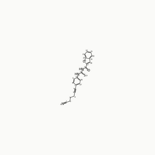 N#CCCCC#Cc1ccc(NC(=S)NC(=O)c2cc3ccccc3o2)cc1